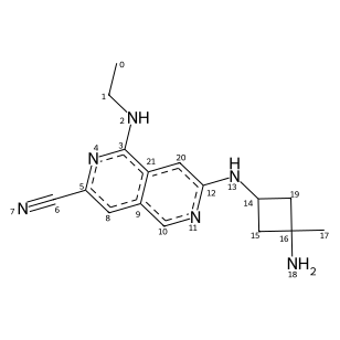 CCNc1nc(C#N)cc2cnc(NC3CC(C)(N)C3)cc12